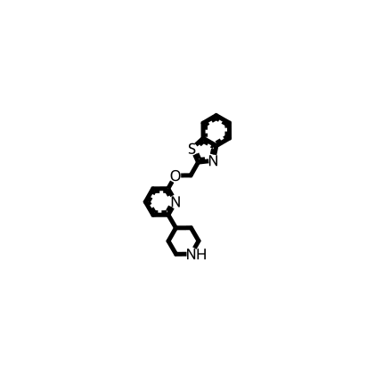 c1cc(OCc2nc3ccccc3s2)nc(C2CCNCC2)c1